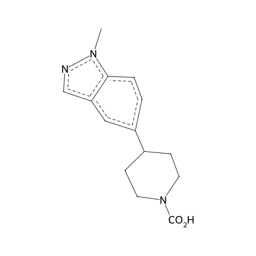 Cn1ncc2cc(C3CCN(C(=O)O)CC3)ccc21